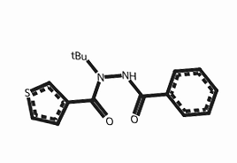 CC(C)(C)N(NC(=O)c1ccccc1)C(=O)c1ccsc1